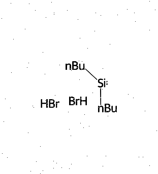 Br.Br.CCCC[Si]CCCC